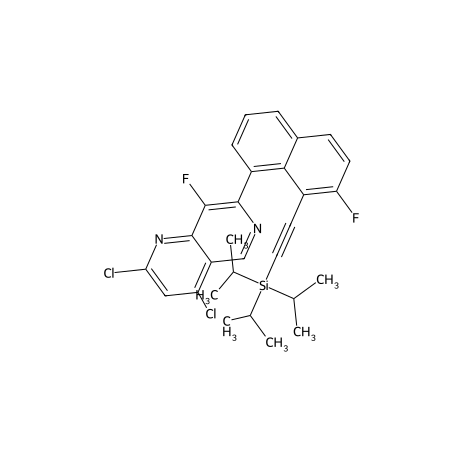 CC(C)[Si](C#Cc1c(F)ccc2cccc(-c3ncc4c(Cl)cc(Cl)nc4c3F)c12)(C(C)C)C(C)C